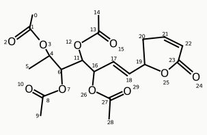 CC(=O)OC(C)C(OC(C)=O)C(OC(C)=O)C(/C=C/C1CC=CC(=O)O1)OC(C)=O